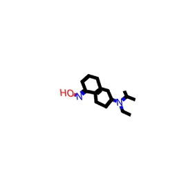 CCN(C(C)C)C1CCC2=C(CCCC2=NO)C1